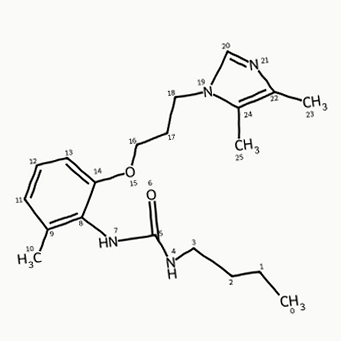 CCCCNC(=O)Nc1c(C)cccc1OCCCn1cnc(C)c1C